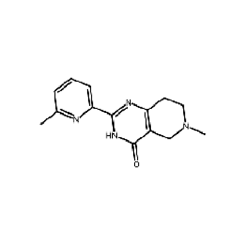 Cc1cccc(-c2nc3c(c(=O)[nH]2)CN(C)CC3)n1